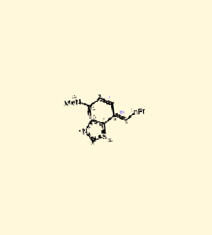 C=C(/C=C\C(=C/CCC)c1cncs1)NC